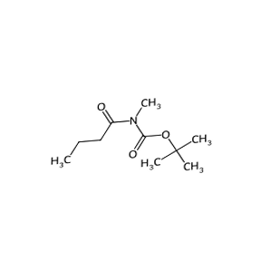 CCCC(=O)N(C)C(=O)OC(C)(C)C